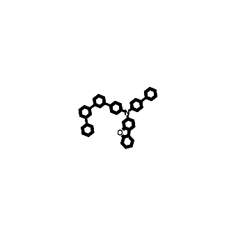 c1ccc(-c2ccc(N(c3ccc(-c4cccc(-c5cccc(-c6ccccc6)c5)c4)cc3)c3ccc4c(c3)oc3ccccc34)cc2)cc1